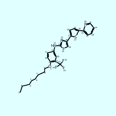 CCCCCCCCOc1ccc(Nc2nc(-c3ccc(-c4ccccn4)s3)cs2)cc1C(F)(F)F